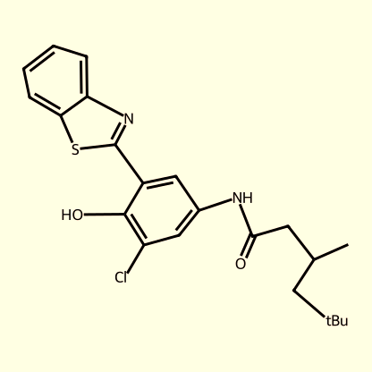 CC(CC(=O)Nc1cc(Cl)c(O)c(-c2nc3ccccc3s2)c1)CC(C)(C)C